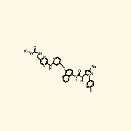 Cc1ccc(-n2nc(C(C)(C)C)cc2NC(=O)Nc2ccc(OCc3ccnc(Nc4cnc(CNC(=O)OC(C)(C)C)cn4)c3)c3ccccc23)cc1